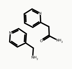 NC(=O)Cc1ccccn1.NCc1ccncc1